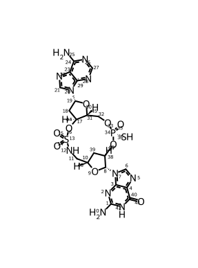 Nc1nc2c(ncn2[C@@H]2O[C@@H]3CNS(=O)(=O)O[C@H]4C[C@H](n5cnc6c(N)ncnc65)O[C@@H]4CO[P@](=O)(S)O[C@@H]2C3)c(=O)[nH]1